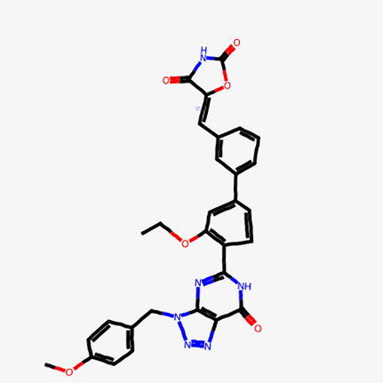 CCOc1cc(-c2cccc(/C=C3\OC(=O)NC3=O)c2)ccc1-c1nc2c(nnn2Cc2ccc(OC)cc2)c(=O)[nH]1